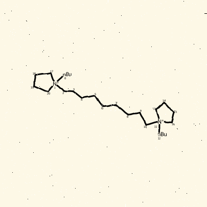 CCCC[N+]1(CCCCCCCCC[N+]2(CCCC)CCCC2)CCCC1